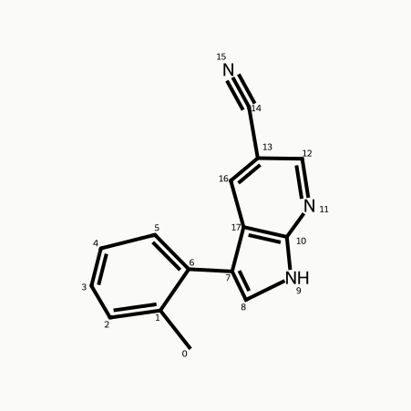 Cc1ccccc1-c1c[nH]c2ncc(C#N)cc12